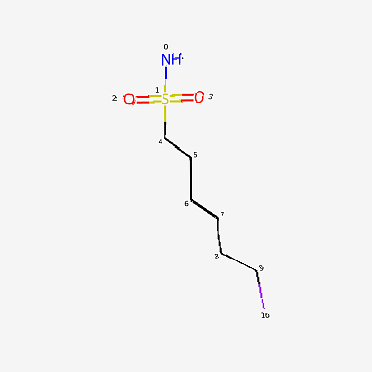 [NH]S(=O)(=O)CCCCCCI